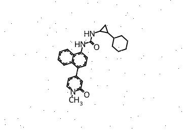 Cn1ccc(-c2ccc(NC(=O)NC3CC3C3CCCCC3)c3ccccc23)cc1=O